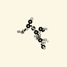 CC(C)(C)[Si](C)(C)OCCOc1ccc(-c2ccc(Cl)cc2)c(CN2CCN(c3ccc(C(=O)NS(=O)(=O)c4ccc(NCC5CCOCC5)c([N+](=O)[O-])c4)c(Oc4cccc5[nH]ccc45)c3)CC2)c1